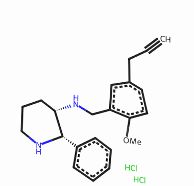 C#CCc1ccc(OC)c(CN[C@H]2CCCN[C@H]2c2ccccc2)c1.Cl.Cl